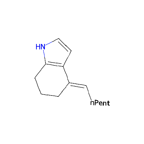 CCCCCC=C1CCCc2[nH]ccc21